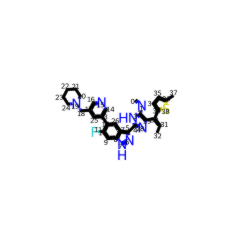 C=Nc1[nH]c(-c2n[nH]c3cc(F)c(-c4cncc(CN5CCCCC5)c4)cc23)nc1/C(=C\C)c1ccc(C)s1